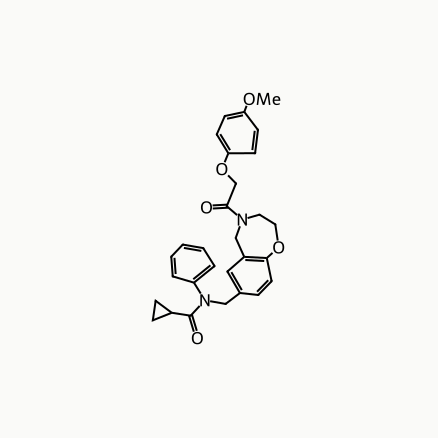 COc1ccc(OCC(=O)N2CCOc3ccc(CN(C(=O)C4CC4)c4ccccc4)cc3C2)cc1